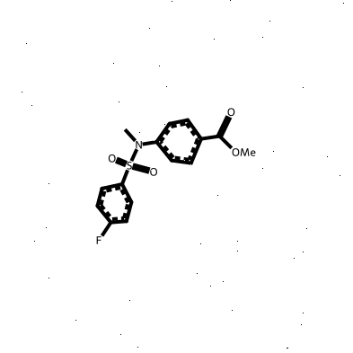 COC(=O)c1ccc(N(C)S(=O)(=O)c2ccc(F)cc2)cc1